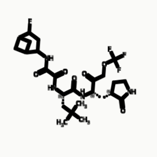 CC(C)(C)C[C@H](NC(=O)C(=O)NC1CC(F)C2CC1C2)C(=O)N[C@@H](C[C@@H]1CCNC1=O)C(=O)COC(F)(F)F